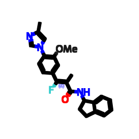 COc1cc(/C(F)=C(\C)C(=O)NC2CCc3ccccc32)ccc1-n1cnc(C)c1